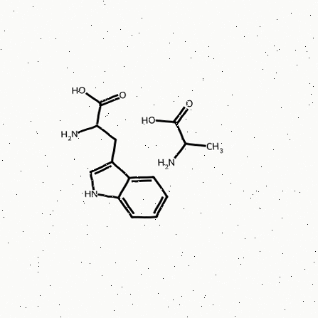 CC(N)C(=O)O.NC(Cc1c[nH]c2ccccc12)C(=O)O